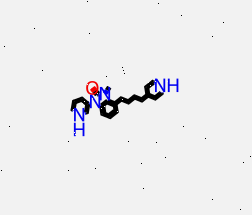 Cn1c(=O)n(C2CCCNC2)c2cccc(CCCCC3CCNCC3)c21